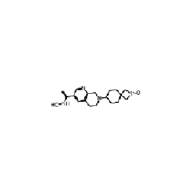 C=C(NO)c1cnc2c(c1)CCN(C1CCC3(CC1)C[S+]([O-])C3)C2